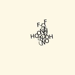 O=C(NCc1c(F)cc(F)cc1F)c1c2n3c(c(O)c1=O)C(=O)N1CCCC[C@@]3(C[C@@H]2O)C1